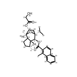 Cc1c(C(=O)O[C@H]2[C@@H]3[C@H](C)CC[C@H]3[C@]3(C)O[C@@]2(C(C)C)C[C@H]3OC(=O)CO)ccc2ccccc12